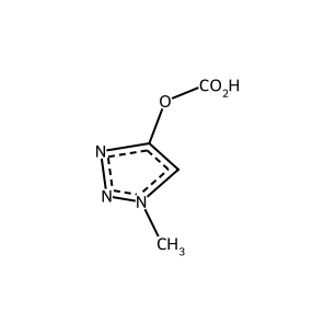 Cn1cc(OC(=O)O)nn1